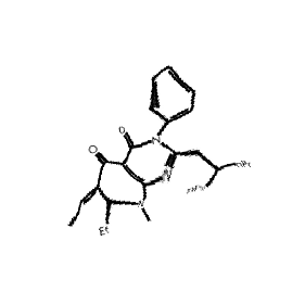 C/C=C1/C(=O)c2c(nc(CC(CCC)CCC)n(-c3ccccc3)c2=O)N(C)C1CC